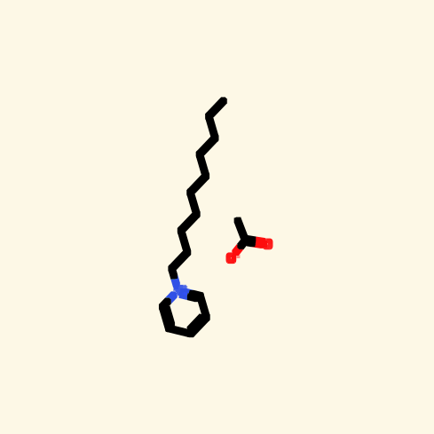 CC(=O)[O-].CCCCCCCCCC[n+]1ccccc1